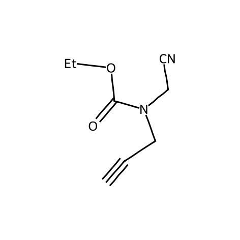 C#CCN(CC#N)C(=O)OCC